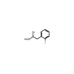 CNC(Cc1ccccc1F)C(C)=O